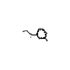 CCPc1cccc(C)c1